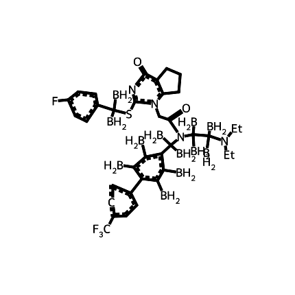 Bc1c(B)c(C(B)(B)N(C(=O)Cn2c(SC(B)(B)c3ccc(F)cc3)nc(=O)c3c2CCC3)C(B)(B)C(B)(B)N(CC)CC)c(B)c(B)c1-c1ccc(C(F)(F)F)cc1